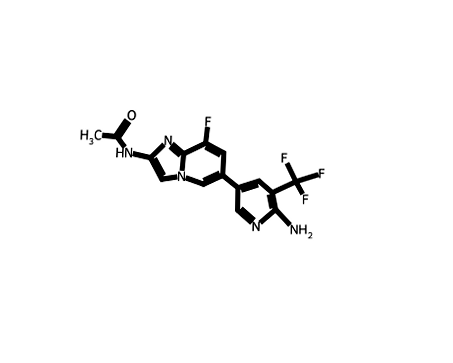 CC(=O)Nc1cn2cc(-c3cnc(N)c(C(F)(F)F)c3)cc(F)c2n1